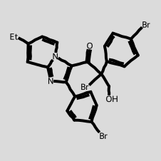 CCc1ccn2c(C(=O)C(Br)(CO)c3ccc(Br)cc3)c(-c3ccc(Br)cc3)nc2c1